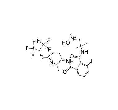 Cc1nc(OC(C(F)(F)F)C(F)(F)F)ccc1NC(=O)c1cccc(I)c1C(=O)NC(C)(C)C=[N+](C)O